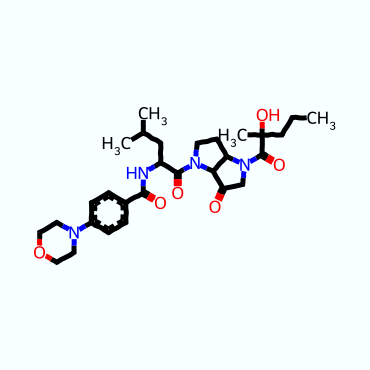 CCCC(C)(O)C(=O)N1CC(=O)C2C1CCN2C(=O)C(CC(C)C)NC(=O)c1ccc(N2CCOCC2)cc1